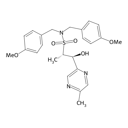 COc1ccc(CN(Cc2ccc(OC)cc2)S(=O)(=O)[C@@H](C)[C@@H](O)c2cnc(C)cn2)cc1